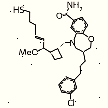 CO[C@@H](/C=C/CCCS)[C@@H]1CC[C@H]1CN1CC(CCCc2cccc(Cl)c2)COc2ccc(C(N)=O)cc21